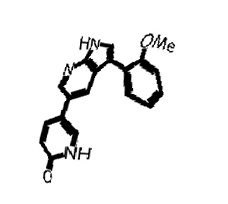 COc1ccccc1-c1c[nH]c2ncc(-c3ccc(=O)[nH]c3)cc12